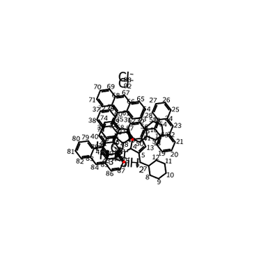 [CH3][Zr]([CH3])(=[SiH2])([CH]1C(CC2CCCCC2)=Cc2c(-c3c4ccccc4cc4ccccc34)ccc(-c3c4ccccc4cc4ccccc34)c21)[CH]1C(CC2CCCCC2)=Cc2c(-c3c4ccccc4cc4ccccc34)ccc(-c3c4ccccc4cc4ccccc34)c21.[Cl-].[Cl-]